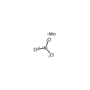 [Cl][Bi]([Cl])[Cl].[Mn]